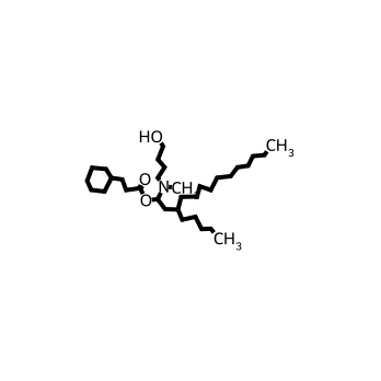 CCCCCCCCCCCC(CCCCC)CC(OC(=O)CCC1CCCCC1)N(C)CCCCO